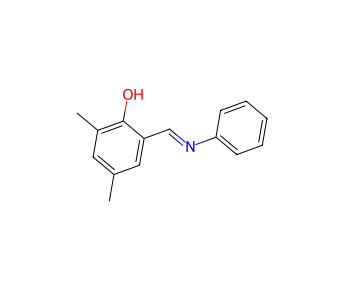 Cc1cc(C)c(O)c(/C=N/c2ccccc2)c1